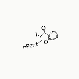 CCCCCC1Oc2ccccc2C(=O)C1I